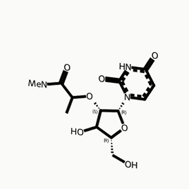 CNC(=O)C(C)O[C@H]1C(O)[C@@H](CO)O[C@H]1n1ccc(=O)[nH]c1=O